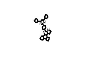 c1ccc(-c2cc(-c3ccccc3)nc(-c3ccc(-c4nc5c6ccccc6c6ccccc6c5c5cccnc45)cc3)n2)cc1